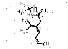 C=C(C/C(=C/C=C\C)C(C)C)NC(C)(C)C